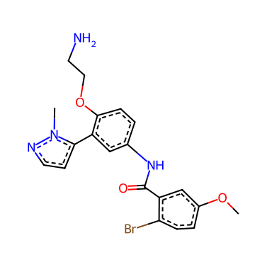 COc1ccc(Br)c(C(=O)Nc2ccc(OCCN)c(-c3ccnn3C)c2)c1